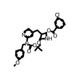 COc1ccc(CN(C(=O)OC(C)(C)C)c2cc(CC3C(=O)NC3OC(=O)c3cccc(Cl)c3)ccn2)cc1